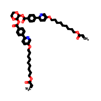 C=CC(=O)OCCCCCCCCCOc1ccc(-c2ccc(C(=O)OC3OCCOC3OC(=O)c3ccc(-c4ccc(OCCCCCCCCCOC(=O)C=C)cn4)cc3)cc2)nc1